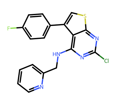 Fc1ccc(-c2csc3nc(Cl)nc(NCc4ccccn4)c23)cc1